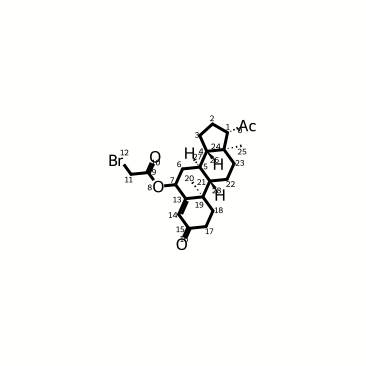 CC(=O)[C@H]1CC[C@H]2[C@@H]3CC(OC(=O)CBr)C4=CC(=O)CC[C@]4(C)[C@H]3CC[C@]12C